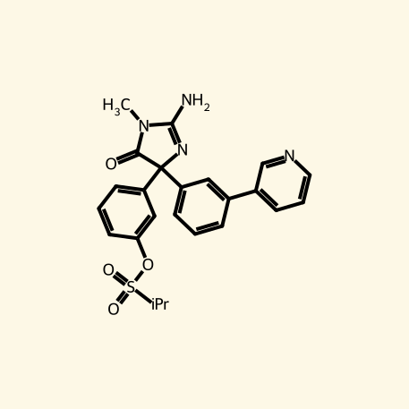 CC(C)S(=O)(=O)Oc1cccc(C2(c3cccc(-c4cccnc4)c3)N=C(N)N(C)C2=O)c1